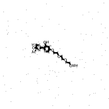 COCCOCCOCCOc1cnc(C2=N[C@@](C)(C(C)=O)CS2)c(O)c1